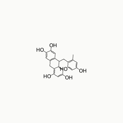 Cc1cc(O)cc(O)c1CC1c2cc(O)c(O)cc2Cc2c(O)cc(O)cc21